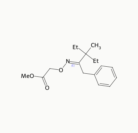 CCC(C)(CC)/C(Cc1ccccc1)=N/OCC(=O)OC